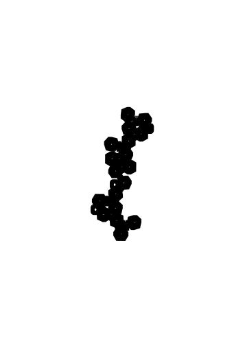 c1ccc(-n2c3ccccc3c3cc(-c4ccc5oc6cccc(-n7c8ccccc8c8cc9c(cc87)oc7c(-c8cccc%10c8-c8ccccc8C%108c%10ccccc%10-c%10c8ccc8c%11cc(-c%12ccc%13oc%14cccc(-n%15c%16ccccc%16c%16ccccc%16%15)c%14c%13c%12)ccc%11n(-c%11ccccc%11)c%108)cccc79)c6c5c4)ccc32)cc1